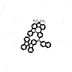 CC1(C)c2cccc3c2-c2c1ccc1c4ccccc4n(c21)-c1cc(N(c2ccc4c(c2)-c2ccccc2C42c4ccccc4-c4ccccc42)c2ccc4ccccc4c2)ccc1-3